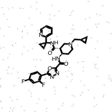 O=C(N[C@@H]1CCN(CC2CC2)C[C@H]1C(=O)NC1(c2ccccn2)CC1)c1nnc(-c2ccc(F)cc2F)o1